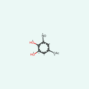 CC(=O)Oc1cc(O)c(O)c(N=O)c1